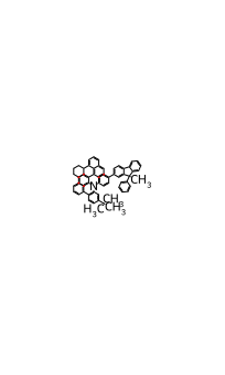 CC(C)(C)c1ccc(-c2ccccc2)c(N(c2ccc(-c3ccc4c(c3)C(C)(c3ccccc3)c3ccccc3-4)cc2)c2ccccc2-c2cccc3cccc(C4CCCCC4)c23)c1